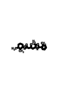 Cc1ccccc1-c1nc(CC(=O)CC(=O)NC2CCCC(C)C2C)c(C)o1